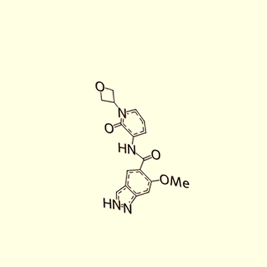 COc1cc2n[nH]cc2cc1C(=O)Nc1cccn(C2COC2)c1=O